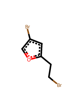 BrCCc1cc(Br)co1